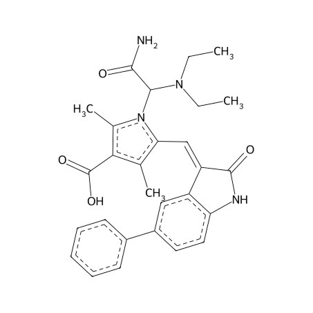 CCN(CC)C(C(N)=O)n1c(C)c(C(=O)O)c(C)c1C=C1C(=O)Nc2ccc(-c3ccccc3)cc21